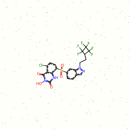 O=c1[nH]c2c(S(=O)(=O)c3ccc4cnn(CCC5C(F)(F)C(F)(F)C5(F)F)c4c3)ccc(Cl)c2c(=O)n1O